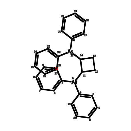 c1ccc([As](c2ccccc2)C2CCC2[As](c2ccccc2)c2ccccc2)cc1